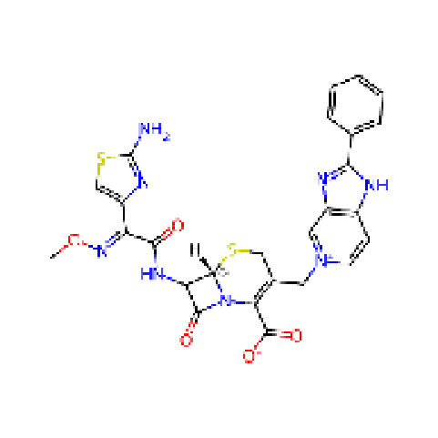 CON=C(C(=O)NC1C(=O)N2C(C(=O)[O-])=C(C[n+]3ccc4[nH]c(-c5ccccc5)nc4c3)CS[C@@H]12)c1csc(N)n1